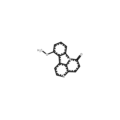 COc1cccc2c1c1ccnc3ccc(=O)n2c31